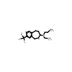 CCN(CCN)C1CCc2ccc(C(F)(F)F)cc2CC1